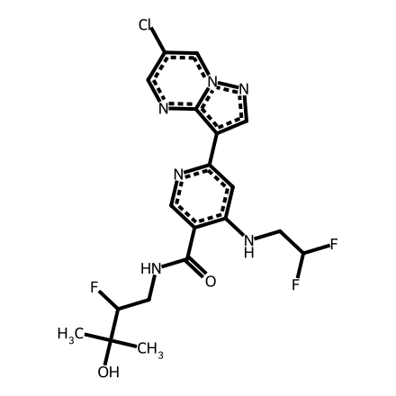 CC(C)(O)C(F)CNC(=O)c1cnc(-c2cnn3cc(Cl)cnc23)cc1NCC(F)F